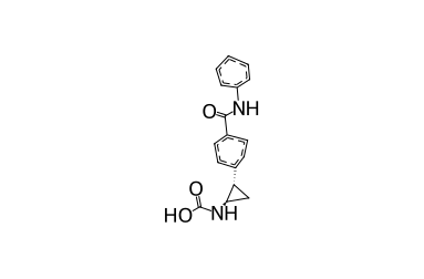 O=C(O)N[C@@H]1C[C@H]1c1ccc(C(=O)Nc2ccccc2)cc1